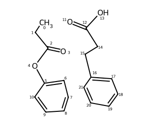 CCC(=O)Oc1ccccc1.O=C(O)CCc1ccccc1